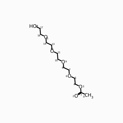 CC(=O)OCCOCCOCCOCCOCCO